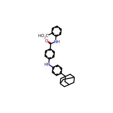 O=C(Nc1ccccc1C(=O)O)c1ccc(Nc2ccc(C34CC5CC(CC(C5)C3)C4)cc2)cc1